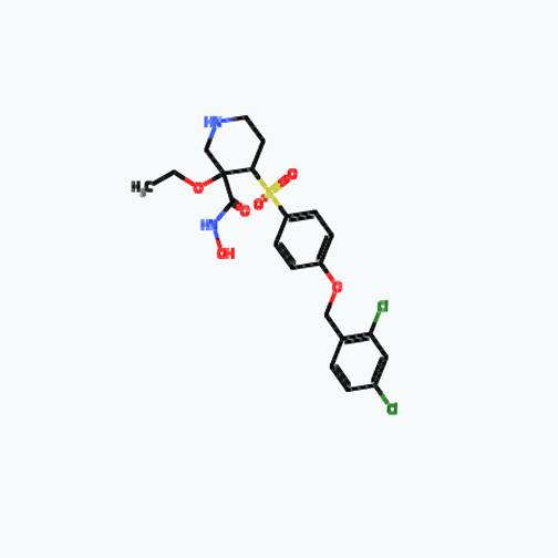 CCOC1(C(=O)NO)CNCCC1S(=O)(=O)c1ccc(OCc2ccc(Cl)cc2Cl)cc1